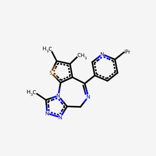 Cc1sc2c(c1C)C(c1ccc(C(C)C)nc1)=NCc1nnc(C)n1-2